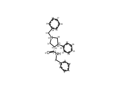 O=C(NCc1ccccc1)[C@@H]1CN(Cc2ccccc2)C[C@H]1c1ccccc1